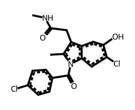 CNC(=O)Cc1c(C)n(C(=O)c2ccc(Cl)cc2)c2cc(Cl)c(O)cc12